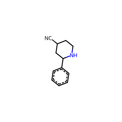 N#CC1CCNC(c2ccccc2)C1